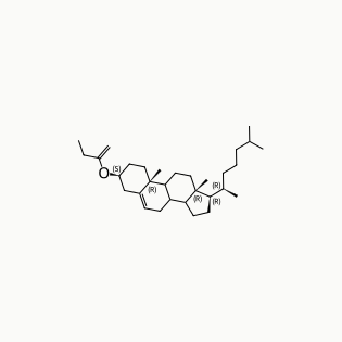 C=C(CC)O[C@H]1CC[C@@]2(C)C(=CCC3C2CC[C@@]2(C)C3CC[C@@H]2[C@H](C)CCCC(C)C)C1